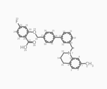 Cc1ccc2c(c1)N(Cc1cccc(-c3ccc(COc4cc(F)ccc4C(=O)O)cc3)c1)CCC2